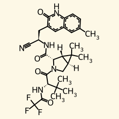 Cc1ccc2[nH]c(=O)c(C[C@H](C#N)NC(=O)[C@@H]3[C@H]4[C@H](CN3C(=O)[C@@H](NC(=O)C(F)(F)F)C(C)(C)C)C4(C)C)cc2c1